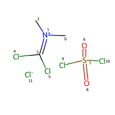 C[N+](C)=C(Cl)Cl.O=S(=O)(Cl)Cl.[Cl-]